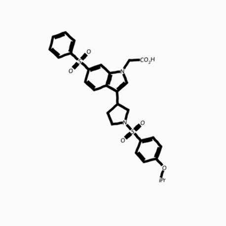 CC(C)Oc1ccc(S(=O)(=O)N2CCC(c3cn(CC(=O)O)c4cc(S(=O)(=O)c5ccccc5)ccc34)C2)cc1